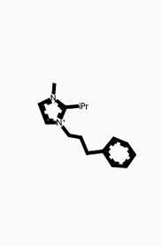 CC(C)c1n(C)cc[n+]1CCCc1ccccc1